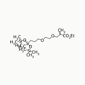 C=C(COCCOCCC[Si](C)(O[Si](C)(C)C)O[Si](C)(C)C)C(=O)OCC